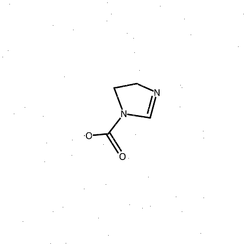 [O]C(=O)N1C=NCC1